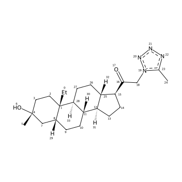 CC[C@]12CC[C@@](C)(O)C[C@H]1CC[C@H]1[C@@H]3CC[C@H](C(=O)Cn4nnnc4C)[C@H]3CC[C@@H]12